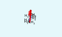 CC(C)=C/C=C/C(C)=C/C=C/C=C(C)/C=C/C=C(C)/C=C/C1=C(C)C(=O)C(OC(=O)CCC(=O)OCC2CCCCC2)CC1(C)C